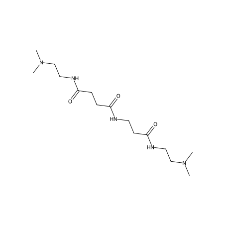 CN(C)CCNC(=O)CCNC(=O)CCC(=O)NCCN(C)C